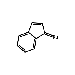 [Ru]=[C]1C=Cc2ccccc21